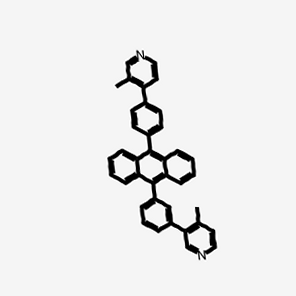 Cc1cnccc1-c1ccc(-c2c3ccccc3c(-c3cccc(-c4cnccc4C)c3)c3ccccc23)cc1